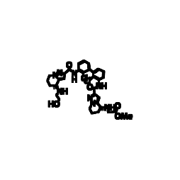 COC(=O)CN[C@H]1CCCn2nc(C(=O)Nc3cccc(-c4cccc(NC(=O)c5cc6n(n5)CCC[C@@H]6NCCO)c4Cl)c3Cl)cc21